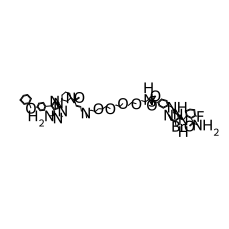 CN(C/C=C/C(=O)N1CCC[C@@H](n2nc(-c3ccc(Oc4ccccc4)cc3)c3c(N)ncnc32)C1)CCOCCOCCOCCOCCNS(=O)(=O)c1ccc(Nc2ncc(Br)c(Nc3cccc(F)c3C(N)=O)n2)cc1